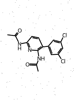 CC(=O)Nc1ccc(-c2cc(Cl)cc(Cl)c2)c(NC(C)=O)n1